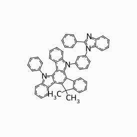 CC1(C)c2ccccc2-c2c1c1c3ccccc3n(-c3ccccc3)c1c1c3ccccc3n(-c3cccc(-n4c(-c5ccccc5)nc5ccccc54)c3)c21